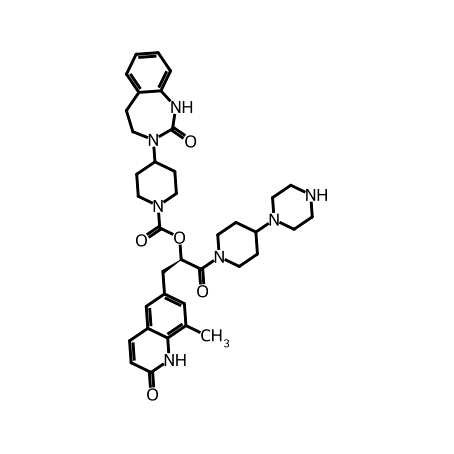 Cc1cc(C[C@@H](OC(=O)N2CCC(N3CCc4ccccc4NC3=O)CC2)C(=O)N2CCC(N3CCNCC3)CC2)cc2ccc(=O)[nH]c12